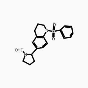 O=CN1CCCC1c1ccc2c(c1)CCCN2S(=O)(=O)c1ccccc1